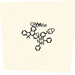 COc1cc2c3c(c4c(c2cc1OC)-c1ccccc1C4(C)C)C=CC(c1ccc(N2CCOCC2)cc1)(c1nc(-c2ccccc2)nc(-c2ccccc2)n1)O3